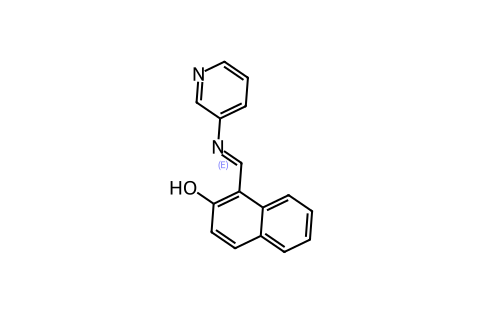 Oc1ccc2ccccc2c1/C=N/c1cccnc1